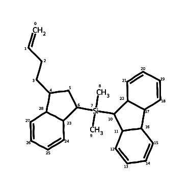 C=CCCC1CC([Si](C)(C)C2C3C=CC=CC3C3C=CC=CC32)C2C=CC=CC12